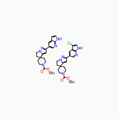 CC(C)(C)OC(=O)N1CCC2(CC1)CCn1nc(-c3cnc4[nH]cc(Cl)c4c3)cc12.CC(C)(C)OC(=O)N1CCC2(CC1)CCn1nc(-c3cnc4[nH]ccc4c3)cc12